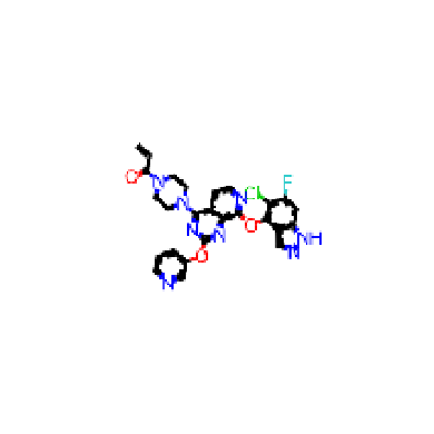 C=CC(=O)N1CCN(c2nc(Oc3cccnc3)nc3c(Oc4c(Cl)c(F)cc5[nH]ncc45)nccc23)CC1